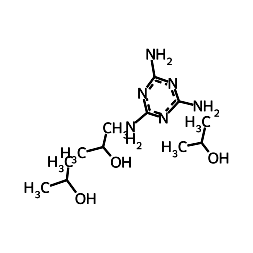 CC(C)O.CC(C)O.CC(C)O.Nc1nc(N)nc(N)n1